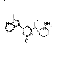 N[C@H]1CCCC[C@@H]1Nc1cc(-c2c[nH]c3ncccc23)cc(Cl)n1